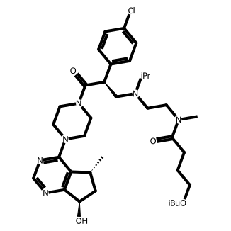 CC(C)COCCCC(=O)N(C)CCN(C[C@@H](C(=O)N1CCN(c2ncnc3c2[C@H](C)C[C@H]3O)CC1)c1ccc(Cl)cc1)C(C)C